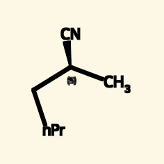 CCCC[C@H](C)C#N